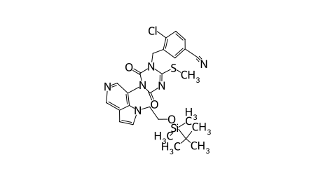 CSc1nc(=O)n(-c2cncc3ccn(CCO[Si](C)(C)C(C)(C)C)c23)c(=O)n1Cc1cc(C#N)ccc1Cl